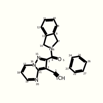 C#Cc1c(C(=O)N2Cc3ccccc3C2)nn2cccnc12.c1ccccc1